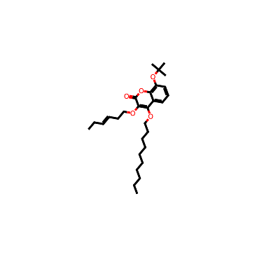 CCC=CCCOc1c(OCCCCCCCCCC)c2cccc(OC(C)(C)C)c2oc1=O